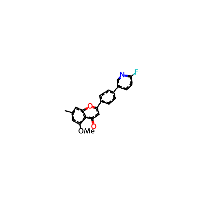 COc1cc(C)cc2oc(-c3ccc(-c4ccc(F)nc4)cc3)cc(=O)c12